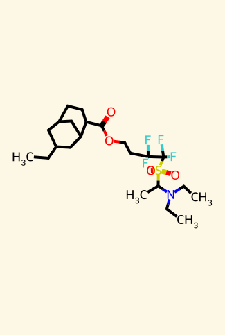 CCC1CC2CCC(C(=O)OCCC(F)(F)C(F)(F)S(=O)(=O)C(C)N(CC)CC)C(C1)C2